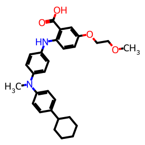 COCCOc1ccc(Nc2ccc(N(C)c3ccc(C4CCCCC4)cc3)cc2)c(C(=O)O)c1